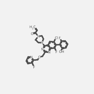 C=CC(=O)N1CCN(c2nc(COCc3ncccc3F)nc3c(F)c(-c4c(O)cccc4F)c(Cl)cc23)CC1